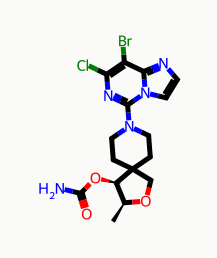 C[C@@H]1OCC2(CCN(c3nc(Cl)c(Br)c4nccn34)CC2)[C@@H]1OC(N)=O